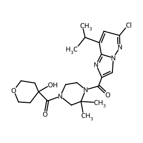 CC(C)c1cc(Cl)nn2cc(C(=O)N3CCN(C(=O)C4(O)CCOCC4)CC3(C)C)nc12